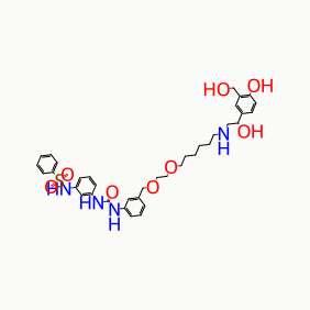 O=C(Nc1cccc(COCCOCCCCCCNC[C@H](O)c2ccc(O)c(CO)c2)c1)Nc1cccc(NS(=O)(=O)c2ccccc2)c1